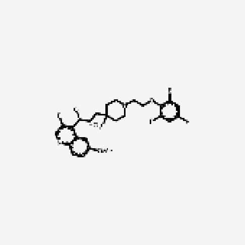 COc1ccc2ncc(F)c([C@@H](O)CCC3(C(=O)O)CCN(CCOc4c(F)cc(F)cc4F)CC3)c2c1